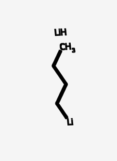 [LiH].[Li][CH2]CCC